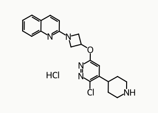 Cl.Clc1nnc(OC2CN(c3ccc4ccccc4n3)C2)cc1C1CCNCC1